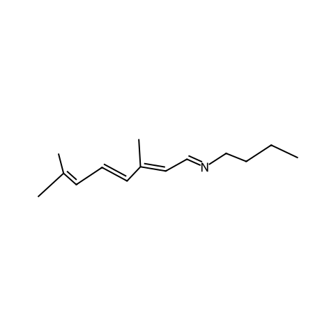 CCCC/N=C/C=C(C)/C=C/C=C(C)C